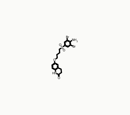 Nc1c(Br)cc(S(=O)(=O)CCCCOc2ccc3c(c2)CCC(=O)N3)cc1Br